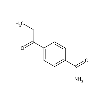 CCC(=O)c1ccc(C(N)=O)cc1